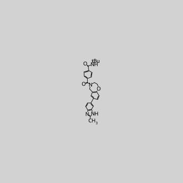 Cc1nc2ccc(-c3ccc4c(c3)CN(C(=O)c3ccc(C(=O)NC(C)(C)C)cc3)CCO4)cc2[nH]1